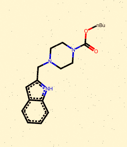 CCCCOC(=O)N1CCN(Cc2cc3ccccc3[nH]2)CC1